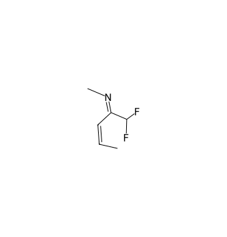 C/C=C\C(=N/C)C(F)F